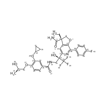 CC[C@@]1(C(N)=O)COc2c1cc([C@@](O)(CNC(=O)c1ccc(OC[C@@H](C)O)c(OC3CC3)c1)C(F)(F)F)nc2-c1ccc(F)cc1